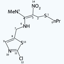 CCCSC/C(=C(/NC)NCc1cnc(Cl)s1)[N+](=O)[O-]